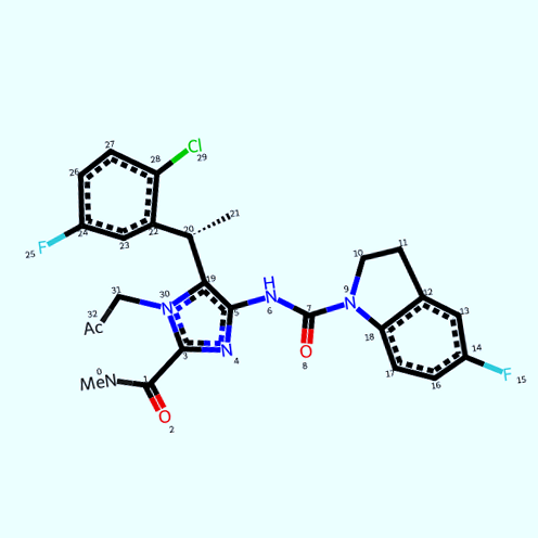 CNC(=O)c1nc(NC(=O)N2CCc3cc(F)ccc32)c([C@@H](C)c2cc(F)ccc2Cl)n1CC(C)=O